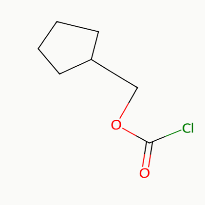 O=C(Cl)OCC1CCCC1